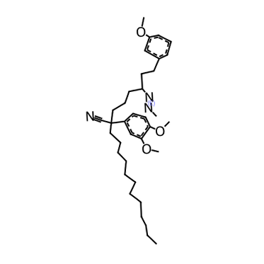 CCCCCCCCCCCCC(C#N)(CCCC(CCc1cccc(OC)c1)/N=N/C)c1ccc(OC)c(OC)c1